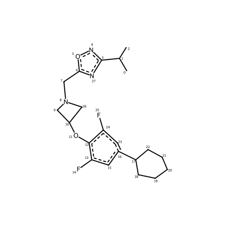 CC(C)c1noc(CN2CC(Oc3c(F)cc(C4CCCCC4)cc3F)C2)n1